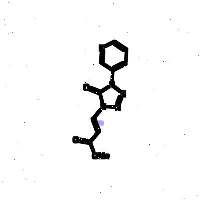 COC(=O)/C=C/n1nnn(-c2cccnc2)c1=O